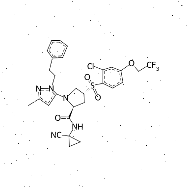 Cc1cc(N2C[C@H](S(=O)(=O)c3ccc(OCC(F)(F)F)cc3Cl)C[C@H]2C(=O)NC2(C#N)CC2)n(CCc2ccccc2)n1